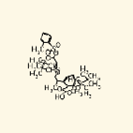 Cc1ccccc1S(=O)(=O)OC(CCOCC(C)C1=CC=CC(C)(O[Si](C)(C)C(C)(C)C)C1S(=O)(=O)O)O[Si](C)(C)C(C)(C)C